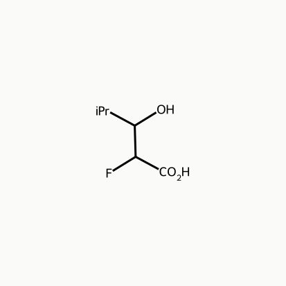 CC(C)C(O)C(F)C(=O)O